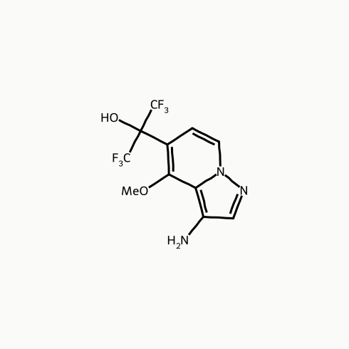 COc1c(C(O)(C(F)(F)F)C(F)(F)F)ccn2ncc(N)c12